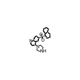 O=S(=O)(c1ccc2nccc(N3CCNCC3)c2c1)c1cccc2ccccc12